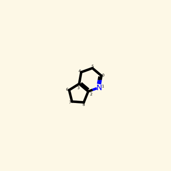 C1=NC2=C(CC1)CCC2